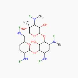 CCN(F)C1CC(NF)C(OC2OC(CNF)CCC2NF)C(O)C1OC1OCC(C)(O)C(N(C)F)C1O